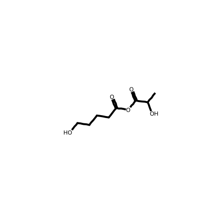 CC(O)C(=O)OC(=O)CCCCO